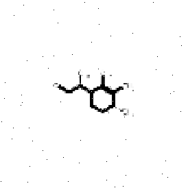 CC1=C(C)[C@H](C)CCC1[C@H](C)CCl